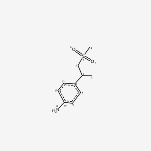 CC(CS(C)(=O)=O)c1ccc(N)cc1